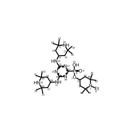 CCN1C(C)(C)CC(OP(=O)(O)c2nc(NC3CC(C)(C)NC(C)(C)C3)nc(NC3CC(C)(C)NC(C)(C)C3)n2)CC1(C)C